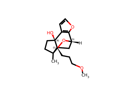 COCCC[C@@]12C[C@@H]3OC1(C)CC[C@]2(O)c1ccoc13